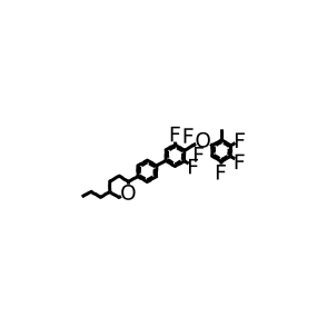 CCCC1CCC(c2ccc(-c3cc(F)c(C(F)(F)Oc4cc(F)c(F)c(F)c4C)c(F)c3)cc2)OC1